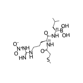 CSCC(=O)N[C@@H](CCCNC(=N)N[N+](=O)[O-])C(=O)N[C@@H](CC(C)C)B(O)O